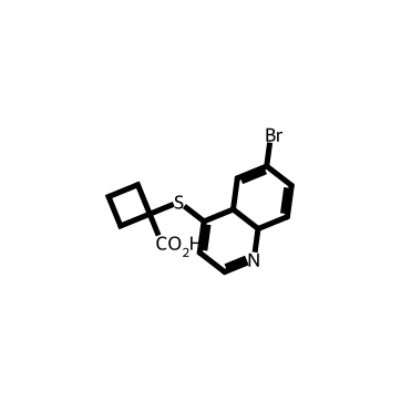 O=C(O)C1(SC2=CC=NC3C=CC(Br)=CC23)CCC1